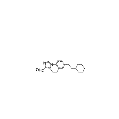 O=Cc1ncn2c1CCc1cc(CCC3CCCCC3)ccc1-2